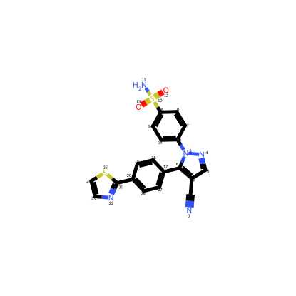 N#Cc1cnn(-c2ccc(S(N)(=O)=O)cc2)c1-c1ccc(-c2nccs2)cc1